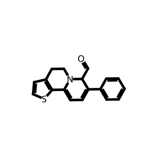 O=CC1C(c2ccccc2)=CC=C2c3sccc3CCN21